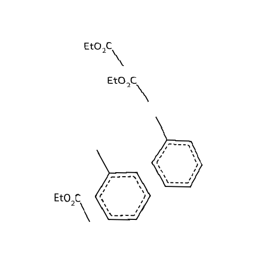 CCOC(C)=O.CCOC(C)=O.CCOC(C)=O.Cc1ccccc1.Cc1ccccc1